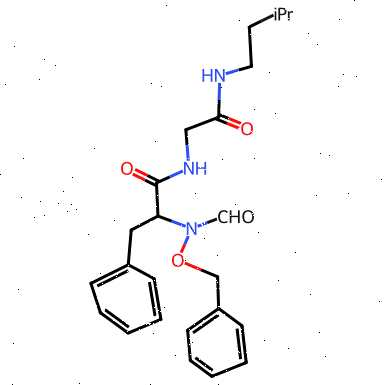 CC(C)CCNC(=O)CNC(=O)C(Cc1ccccc1)N(C=O)OCc1ccccc1